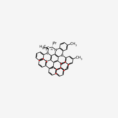 C=CB1c2ccccc2Sc2c1c1c3c(c2-c2c(-c4ccccc4)cccc2-c2ccccc2)N(c2c(F)cccc2F)c2ccc(C)cc2B3c2cc(C)ccc2N1[C@H](C)C(C)C